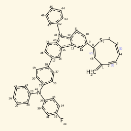 C=C1/C=C\C=C/CS/C(c2ccc3c(c2)c2cc(-c4ccc(N(c5ccccc5)c5ccc(F)cc5)cc4)ccc2n3-c2ccccc2)=C\1